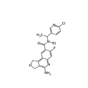 CCN(C(=O)c1cc2c3c(c(N)nc2cc1F)COC3)C(C)c1ccc(Cl)nc1